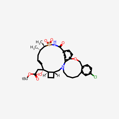 C[C@@H]1[C@@H](C)C/C=C/[C@](O)(CC(=O)OC(C)(C)C)[C@@H]2CC[C@H]2CN2CCCCc3cc(Cl)ccc3COc3ccc(cc32)C(=O)NS1(=O)=O